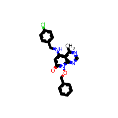 Cc1ncnc2c1c(NCc1ccc(Cl)cc1)cc(=O)n2OCc1ccccc1